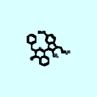 COc1ccc2c(c1)c(-c1nn(Cc3ccccc3)c(=O)c3ccccc13)c(C)n2CC(=O)O